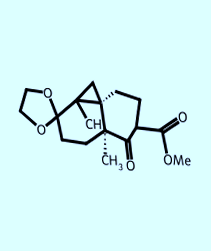 COC(=O)C1CC[C@@]23CC2(C)C2(CC[C@]3(C)C1=O)OCCO2